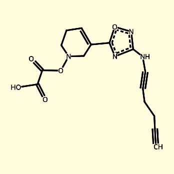 C#CCCC#CNc1noc(C2=CCCN(OC(=O)C(=O)O)C2)n1